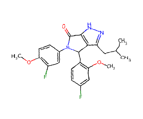 COc1ccc(N2C(=O)c3[nH]nc(CC(C)C)c3C2c2ccc(F)cc2OC)cc1F